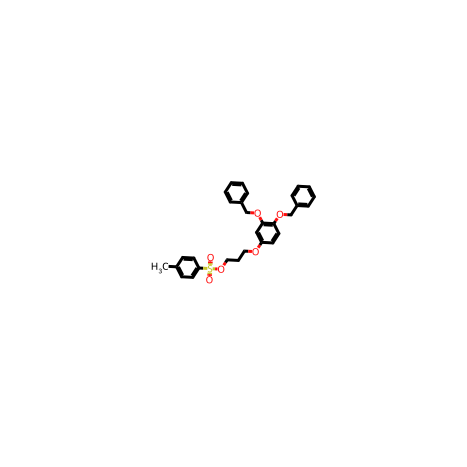 Cc1ccc(S(=O)(=O)OCCCOc2ccc(OCc3ccccc3)c(OCc3ccccc3)c2)cc1